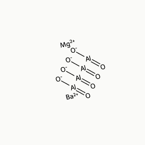 [Ba+2].[Mg+2].[O]=[Al][O-].[O]=[Al][O-].[O]=[Al][O-].[O]=[Al][O-]